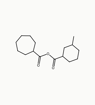 CC1CCCC(C(=O)OC(=O)C2CCCCCC2)C1